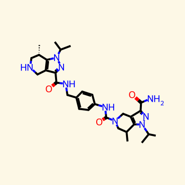 CC1CN(C(=O)Nc2ccc(CNC(=O)c3nn(C(C)C)c4c3CNC[C@@H]4C)cc2)Cc2c(C(N)=O)nn(C(C)C)c21